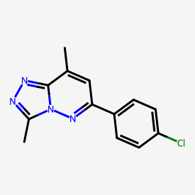 Cc1cc(-c2ccc(Cl)cc2)nn2c(C)nnc12